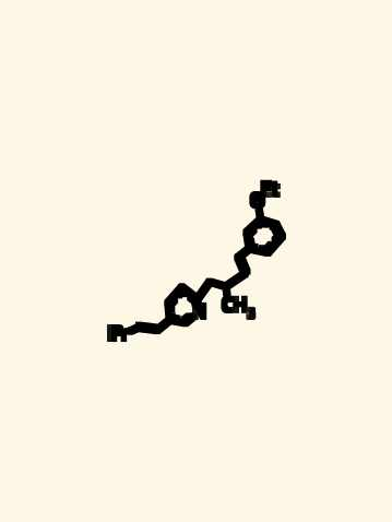 CCOc1cccc(/C=C/C(C)Cc2ccc(/C=C/C(C)C)cn2)c1